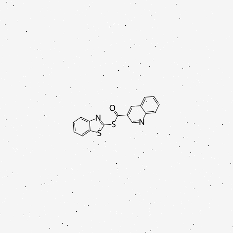 O=C(Sc1nc2ccccc2s1)c1cnc2ccccc2c1